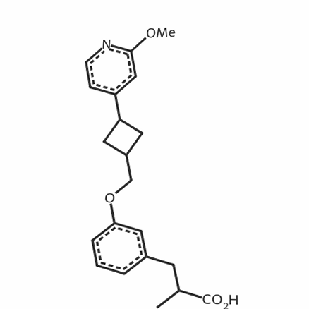 COc1cc(C2CC(COc3cccc(CC(C)C(=O)O)c3)C2)ccn1